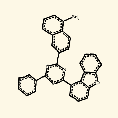 Bc1cccc2cc(-c3nc(-c4ccccc4)nc(-c4cccc5oc6ccccc6c45)n3)ccc12